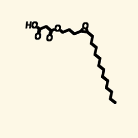 CCCCCCCCCCCCCC1OC1CCCOC(=O)CC(=O)O